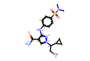 CN(C)S(=O)(=O)c1ccc(Nc2nn(C(CC#N)C3CC3)cc2C(N)=O)cc1